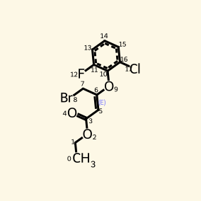 CCOC(=O)/C=C(\CBr)Oc1c(F)cccc1Cl